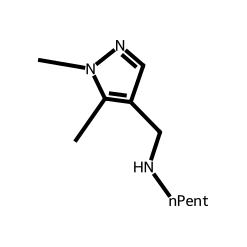 CCCCCNCc1cnn(C)c1C